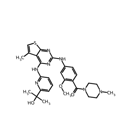 COc1cc(Nc2nc(Nc3cccc(C(C)(C)O)n3)c3c(C)csc3n2)ccc1C(=O)N1CCN(C)CC1